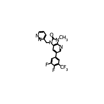 Cn1c(=O)n(Cc2cccnn2)c2cc(-c3cc(F)c(F)c(C(F)(F)F)c3)cnc21